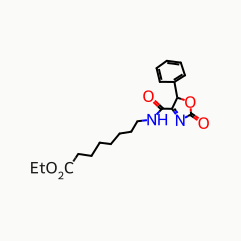 CCOC(=O)CCCCCCCNC(=O)C1=NC(=O)OC1c1ccccc1